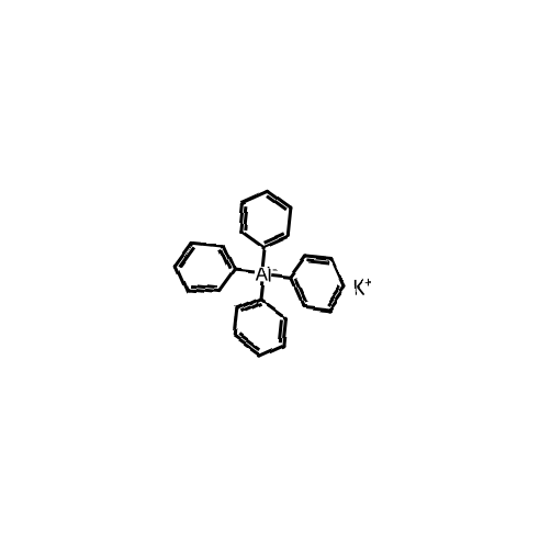 [K+].c1cc[c]([Al-]([c]2ccccc2)([c]2ccccc2)[c]2ccccc2)cc1